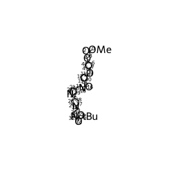 COC(=O)COc1ccc(Oc2cccc(C(=O)N(C)Cc3ccnc(C4CCN(CCN(C)C(=O)OC(C)(C)C)CC4)c3)c2)cc1